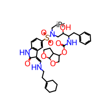 CC(C)CN(CC(O)C(Cc1ccccc1)NC(=O)OC1COC2OCCC12)S(=O)(=O)c1ccc2c(c1)C(=CNCCC1=CCCCC1)C(=O)N2